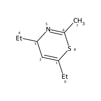 CCC1=CC(CC)N=C(C)S1